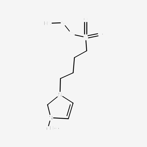 CCCCCCN1C=CN(CCCCS(=O)(=O)OSS)C1